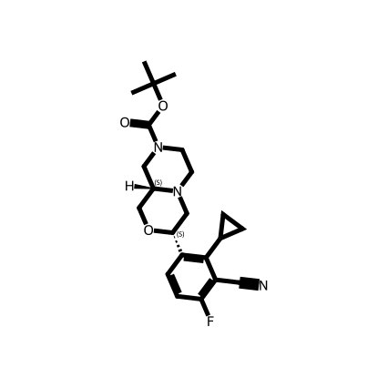 CC(C)(C)OC(=O)N1CCN2C[C@H](c3ccc(F)c(C#N)c3C3CC3)OC[C@@H]2C1